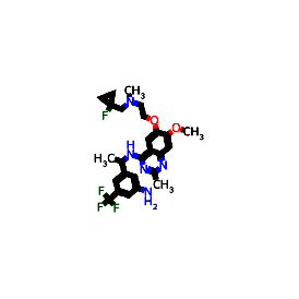 COc1cc2nc(C)nc(NC(C)c3cc(N)cc(C(F)(F)F)c3)c2cc1OCCN(C)CC1(F)CC1